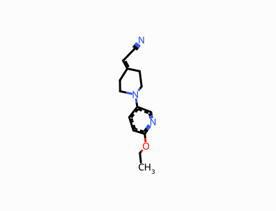 CCOc1ccc(N2CCC(=CC#N)CC2)cn1